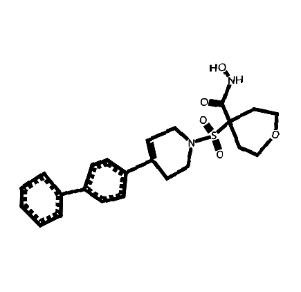 O=C(NO)C1(S(=O)(=O)N2CC=C(c3ccc(-c4ccccc4)cc3)CC2)CCOCC1